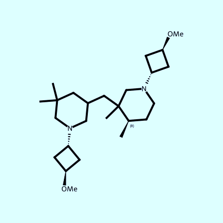 CO[C@H]1C[C@H](N2CC(CC3(C)CN([C@H]4C[C@H](OC)C4)CC[C@H]3C)CC(C)(C)C2)C1